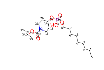 CCCCCCCCCOP(=O)(O)OC1CCN(C(=O)OC(C)(C)C)CC1